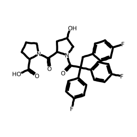 O=C(O)C1CCCN1C(=O)C1CC(O)CN1C(=O)C(Cc1ccc(F)cc1)(c1ccc(F)cc1)c1ccc(F)cc1